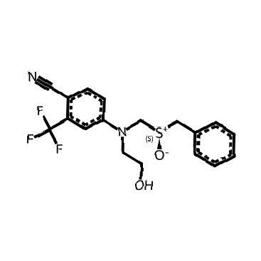 N#Cc1ccc(N(CCO)C[S@+]([O-])Cc2ccccc2)cc1C(F)(F)F